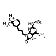 CCCCNc1nc(N)c2[nH]c(=O)n(CCCC3CCOC(C)(C)C3)c2n1